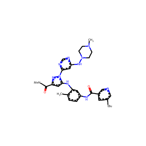 CNC(=O)c1cc(Nc2cc(NC(=O)c3cncc(C(C)(C)C)c3)ccc2C)n(-c2cc(NN3CCN(C)CC3)ncn2)n1